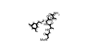 CNCC(=O)CNC(C)C(=O)N[C@H](CSCc1cc(C)cc(C)c1)C(=O)NC(C)C(N)=O